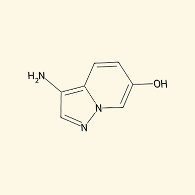 Nc1cnn2cc(O)ccc12